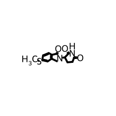 CSc1ccc2c(c1)CN(C1CCC(=O)NC1=O)C2=O